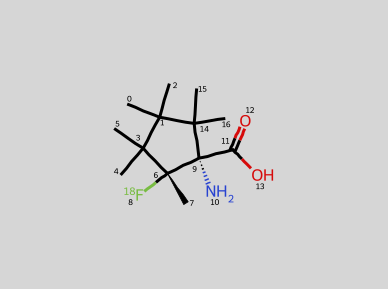 CC1(C)C(C)(C)[C@@](C)([18F])[C@](N)(C(=O)O)C1(C)C